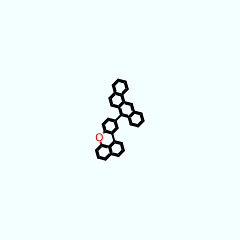 c1ccc2c(-c3ccc4c(c3)-c3cccc5cccc(c35)O4)c3ccc4ccccc4c3cc2c1